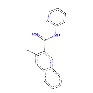 Cc1cc2ccccc2nc1C(=N)Nc1ccccn1